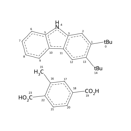 CC(C)(C)c1cc2[nH]c3ccccc3c2cc1C(C)(C)C.Cc1cc(C(=O)O)ccc1C(=O)O